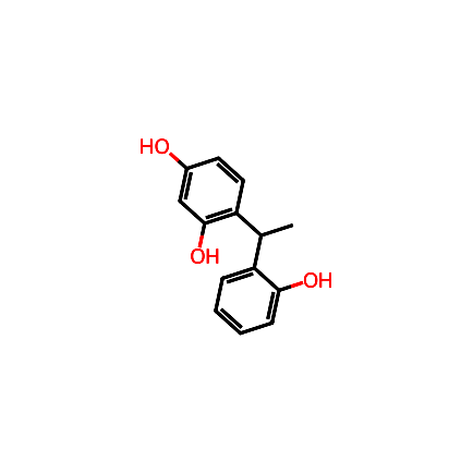 CC(c1ccccc1O)c1ccc(O)cc1O